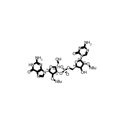 CCCCOC1[C@@H](OP(=O)(O)OC[C@H]2O[C@@H](n3cnc(N)nc3=O)[C@@H](OCCCC)C2O)[C@@H](CO)O[C@H]1n1cnc2c(=O)[nH]c(N)nc21